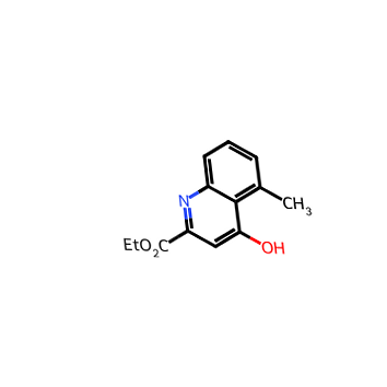 CCOC(=O)c1cc(O)c2c(C)cccc2n1